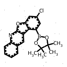 CC1(C)OB(c2cc(Cl)cc3oc4nc5ccccc5cc4c23)OC1(C)C